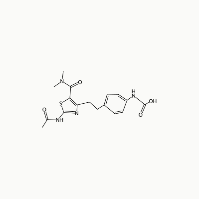 CC(=O)Nc1nc(CCc2ccc(NC(=O)O)cc2)c(C(=O)N(C)C)s1